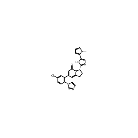 Cn1cccc1-c1cnc([C@@H]2CCc3cc(-c4cc(Cl)ccc4-n4cnnn4)cc(=O)n32)[nH]1